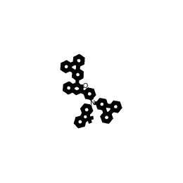 CC1(C)c2ccccc2-c2ccc(N(c3ccc4oc5c(-c6ccc7c8ccccc8c8ccccc8c7c6)c6ccccc6cc5c4c3)c3ccc4c5ccccc5c5ccccc5c4c3)cc21